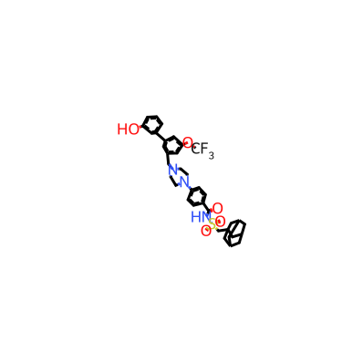 O=C(NS(=O)(=O)CC12CC3CC(CC(C3)C1)C2)c1ccc(N2CCN(Cc3cc(OC(F)(F)F)cc(-c4cccc(O)c4)c3)CC2)cc1